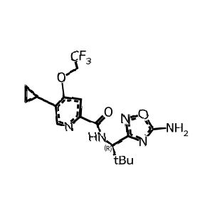 CC(C)(C)[C@@H](NC(=O)c1cc(OCC(F)(F)F)c(C2CC2)cn1)c1noc(N)n1